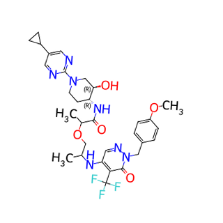 COc1ccc(Cn2ncc(NC(C)COC(C)C(=O)N[C@@H]3CCN(c4ncc(C5CC5)cn4)C[C@H]3O)c(C(F)(F)F)c2=O)cc1